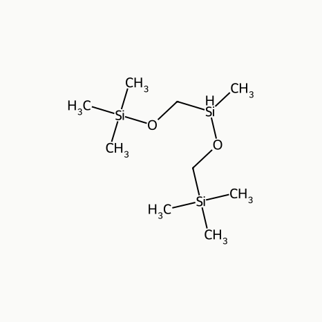 C[SiH](CO[Si](C)(C)C)OC[Si](C)(C)C